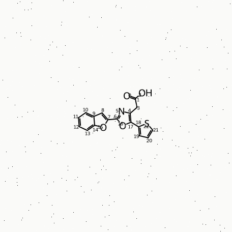 O=C(O)Cc1nc(-c2cc3ccccc3o2)oc1-c1cccs1